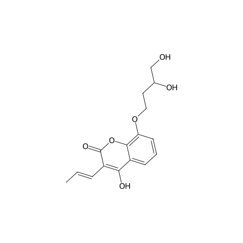 CC=Cc1c(O)c2cccc(OCCC(O)CO)c2oc1=O